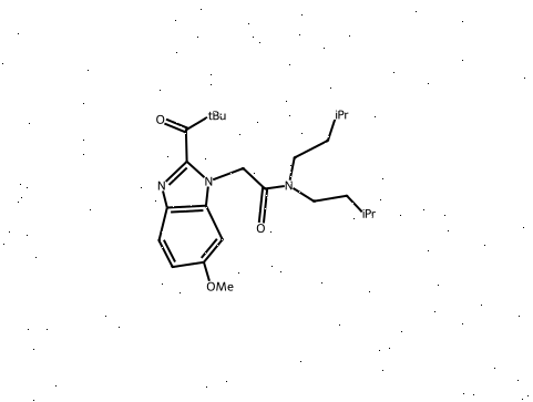 COc1ccc2nc(C(=O)C(C)(C)C)n(CC(=O)N(CCC(C)C)CCC(C)C)c2c1